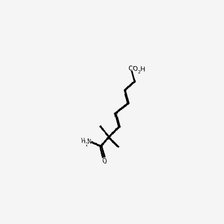 CC(C)(CCCCCC(=O)O)C(N)=O